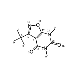 Cn1c(=O)c2c(C(C)(C)C)noc2n(C)c1=O